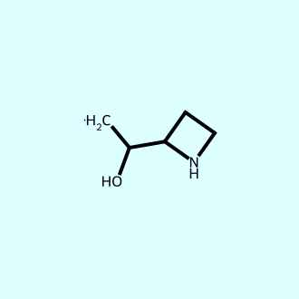 [CH2]C(O)C1CCN1